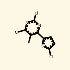 Fc1c(Cl)nc(Cl)nc1-c1ccc(Cl)s1